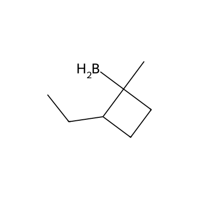 BC1(C)CCC1CC